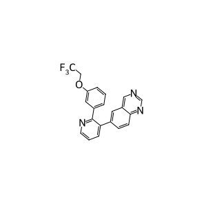 FC(F)(F)COc1cccc(-c2ncccc2-c2ccc3ncncc3c2)c1